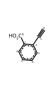 C#Cc1ccccc1C(=O)O